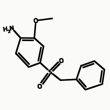 COc1cc(S(=O)(=O)Cc2ccccc2)ccc1N